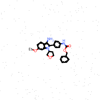 CCOc1ccc2c(N)c(-c3ccc(NC(=O)OCc4ccccc4)cc3)n(C3CCOC3)c2c1